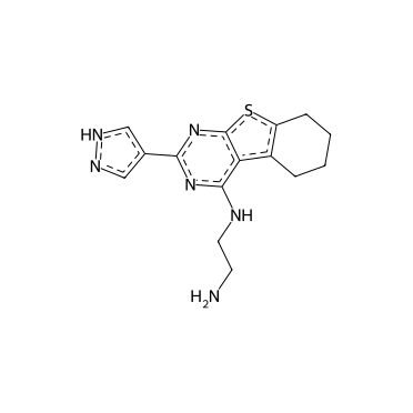 NCCNc1nc(-c2cn[nH]c2)nc2sc3c(c12)CCCC3